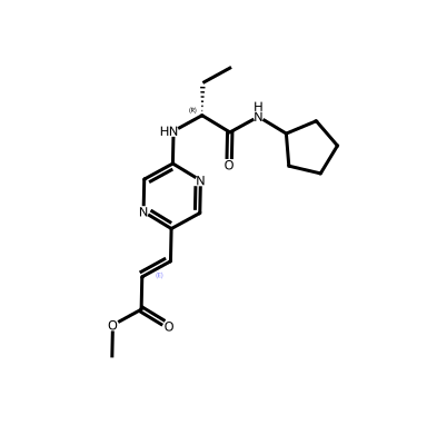 CC[C@@H](Nc1cnc(/C=C/C(=O)OC)cn1)C(=O)NC1CCCC1